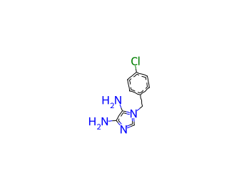 Nc1ncn(Cc2ccc(Cl)cc2)c1N